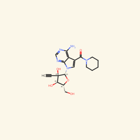 C#C[C@@]1(O)[C@H](O)[C@@H](CO)O[C@H]1n1cc(C(=O)N2CCCCC2)c2c(N)ncnc21